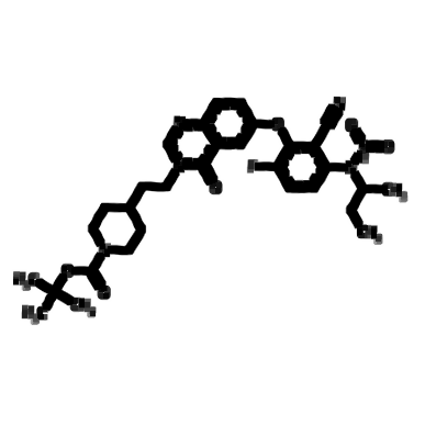 CCC(C)N(c1ccc(F)c(Oc2ccc3ncn(CCC4CCN(C(=O)OC(C)(C)C)CC4)c(=O)c3c2)c1C#N)[SH](=O)=O